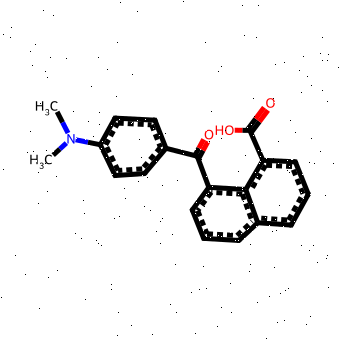 CN(C)c1ccc(C(=O)c2cccc3cccc(C(=O)O)c23)cc1